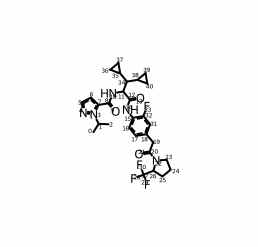 CC(C)n1nccc1C(=O)NC(C(=O)Nc1ccc(CC(=O)N2CCCC2C(F)(F)F)cc1F)C(C1CC1)C1CC1